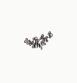 CC1(C)c2ccccc2-c2c(-c3ccccc3N(c3cccc(-c4cccc5oc6c7cc(-c8ccc9c(c8)c8ccc(N(c%10cccc(-c%11cccc%12oc%13c%14ccccc%14ccc%13c%11%12)c%10)c%10ccccc%10-c%10cccc%11c%10-c%10ccccc%10C%11(C)C)cc8n9-c8ccccc8)ccc7ccc6c45)c3)c3ccc4c(c3)C3(c5ccccc5-c5ccccc53)c3ccccc3-4)cccc21